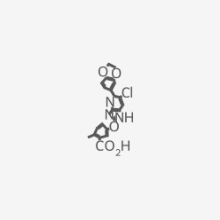 Cc1ccc(Oc2nc3nc(-c4ccc5c(c4)OCCO5)c(Cl)cc3[nH]2)cc1C(=O)O